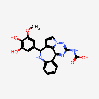 COc1cc(C2Nc3ccccc3-c3nc(NC(=O)O)nn4ccc2c34)cc(O)c1O